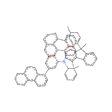 CC1C=CC(C2(C)c3ccccc3-c3c2cccc3C2(C)C=CC=CC2N(c2cccc(-c3cccc4c3ccc3ccccc34)c2)c2ccccc2-c2cccc3cccc(-c4ccccc4)c23)=CC1